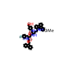 COc1ccc(C(NCCCCC(NC(=O)CC(Cc2ccc(F)cc2)NC(=O)OCC2c3ccccc3-c3ccccc32)C(=O)Nc2ccc(CO)cc2)(c2ccccc2)c2ccccc2)cc1